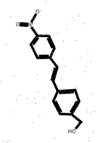 O=[N+]([O-])c1ccc(/C=C/c2ccc(CO)cc2)cc1